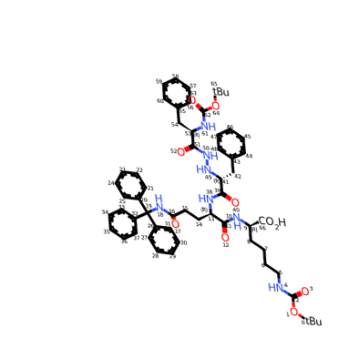 CC(C)(C)OC(=O)NCCCC[C@@H](NC(=O)[C@@H](CCC(=O)NC(c1ccccc1)(c1ccccc1)c1ccccc1)NC(=O)[C@@H](Cc1ccccc1)NNC(=O)[C@@H](Cc1ccccc1)NC(=O)OC(C)(C)C)C(=O)O